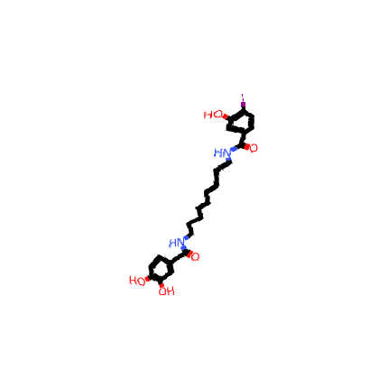 O=C(NCCCCCCCCCNC(=O)c1ccc(I)c(O)c1)c1ccc(O)c(O)c1